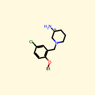 CCOc1ccc(Cl)cc1CN1CCC[C@H](N)C1